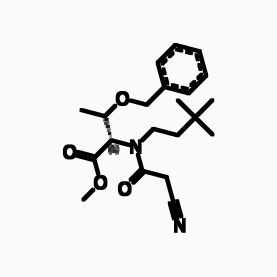 COC(=O)[C@H](C(C)OCc1ccccc1)N(CCC(C)(C)C)C(=O)CC#N